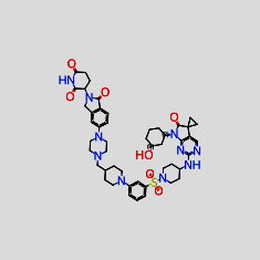 O=C1CCC(N2Cc3cc(N4CCN(CC5CCN(c6cccc(S(=O)(=O)N7CCC(Nc8ncc9c(n8)N([C@@H]8CCC[C@@H](O)C8)C(=O)C98CC8)CC7)c6)CC5)CC4)ccc3C2=O)C(=O)N1